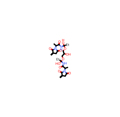 C=C1CC(=O)N(C(C)C(=O)NC(O)(CC)OCC(O)COC(O)(CC)NC(=O)C(C)N2C(=O)CC(=C)C2=O)C1=O